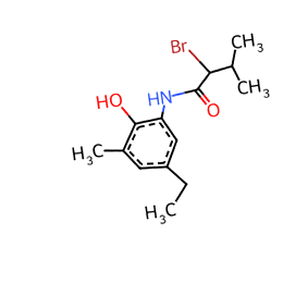 CCc1cc(C)c(O)c(NC(=O)C(Br)C(C)C)c1